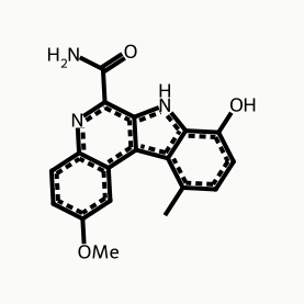 COc1ccc2nc(C(N)=O)c3[nH]c4c(O)ccc(C)c4c3c2c1